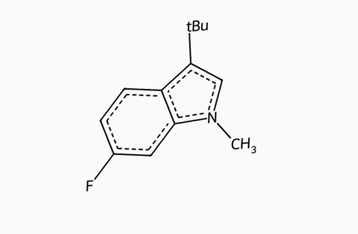 Cn1cc(C(C)(C)C)c2ccc(F)cc21